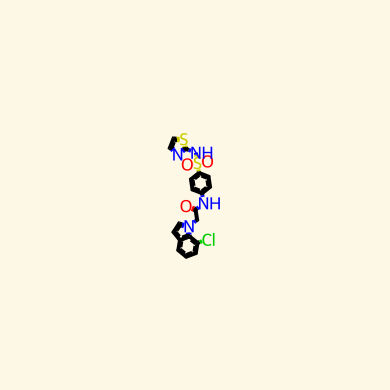 O=C(Cn1ccc2cccc(Cl)c21)Nc1ccc(S(=O)(=O)Nc2nccs2)cc1